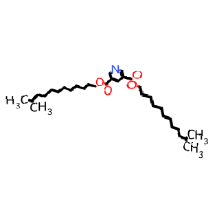 CC(C)CCCCCCCCCCOC(=O)c1cncc(C(=O)OCCCCCCCCCCC(C)C)c1